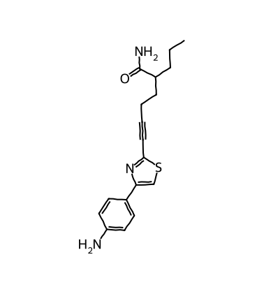 CCCC(CCC#Cc1nc(-c2ccc(N)cc2)cs1)C(N)=O